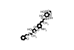 C/C(=C\c1ccc(O[C@@H]2O[C@H](/C(C)=N/OCc3ccccc3Cl)[C@@H](O)[C@H]2O)c(N)c1)C(=O)N[C@@H]1[C@H](O)[C@@H](O)[C@H]2OCO[C@H]2[C@@H]1O